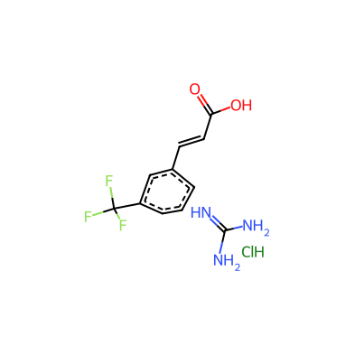 Cl.N=C(N)N.O=C(O)/C=C/c1cccc(C(F)(F)F)c1